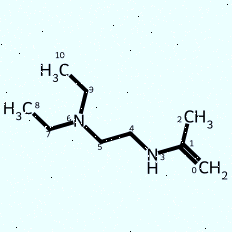 C=C(C)NCCN(CC)CC